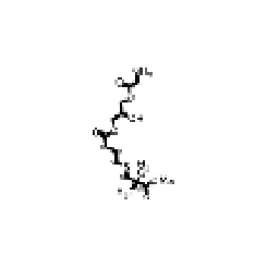 C=CC(=O)OCC(O)COC(=O)CCCSCC(C)(C)C(=O)OC